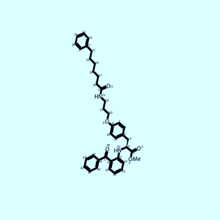 COC(=O)[C@H](Cc1ccc(OCCCNC(=O)CCCCCCc2ccccc2)cc1)Nc1ccccc1C(=O)c1ccccc1